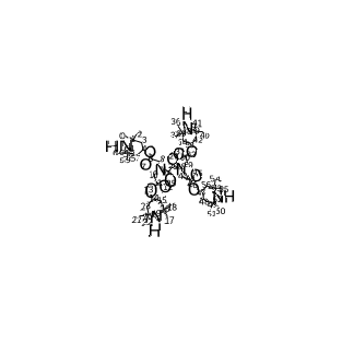 CC1(C)CC(OC(=O)CN(CC(=O)OC2CC(C)(C)NC(C)(C)C2)C(=O)C(=O)N(CC(=O)OC2CC(C)(C)NC(C)(C)C2)CC(=O)OC2CC(C)(C)NC(C)(C)C2)CC(C)(C)N1